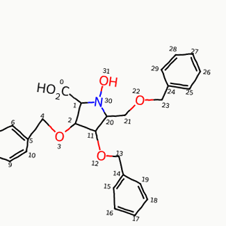 O=C(O)C1C(OCc2ccccc2)C(OCc2ccccc2)C(COCc2ccccc2)N1O